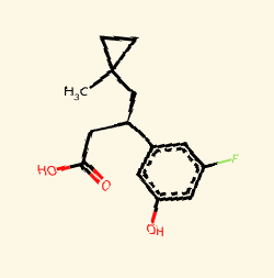 CC1(C[C@H](CC(=O)O)c2cc(O)cc(F)c2)CC1